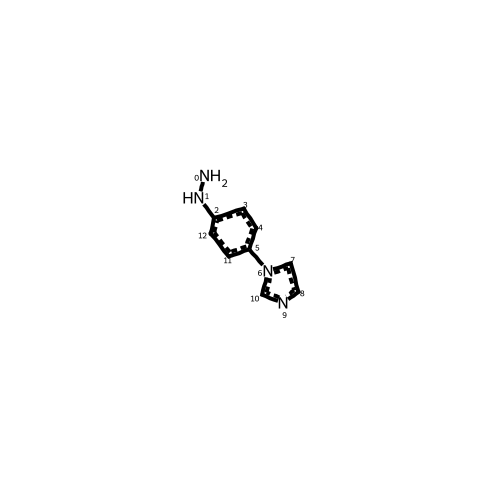 NNc1ccc(-n2ccnc2)cc1